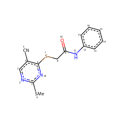 CSc1ncc(C#N)c(SCC(=O)Nc2ccccc2)n1